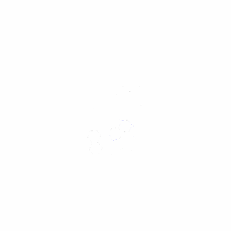 CCc1cccc2cc(OCOC)cc(-c3ncc4c(N(C)[C@@H]5C[C@H]5F)nc(OCC5(CO[Si](C)(C)C(C)(C)C)CC5)nc4c3F)c12